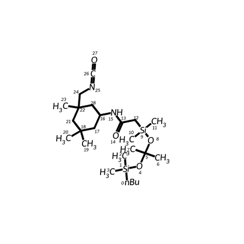 CCCC[Si](C)(C)OC(C)(C)O[Si](C)(C)CC(=O)NC1CC(C)(C)CC(C)(CN=C=O)C1